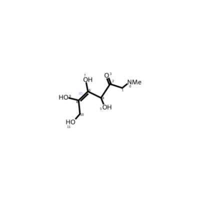 CNCC(=O)C(O)/C(O)=C(/O)CO